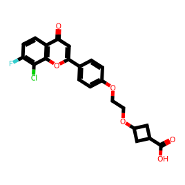 O=C(O)C1CC(OCCOc2ccc(-c3cc(=O)c4ccc(F)c(Cl)c4o3)cc2)C1